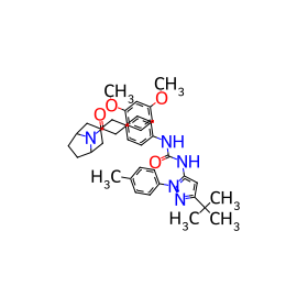 COc1ccc(CC(=O)N2C3CCC2CC(Cc2ccc(NC(=O)Nc4cc(C(C)(C)C)nn4-c4ccc(C)cc4)cc2)C3)c(OC)c1